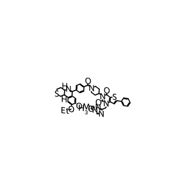 CCOc1cc2c(cc1OC)C(c1ccc(C(=O)N3CCC(n4c(=O)c5sc(-c6ccccc6)cc5n(Cc5ncn(C)n5)c4=O)CC3)cc1)=N[C@@H]1CCSC[C@H]21